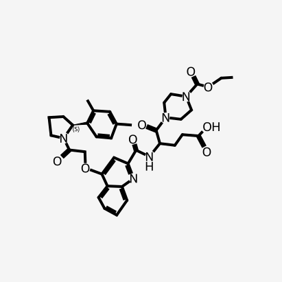 CCOC(=O)N1CCN(C(=O)C(CCC(=O)O)NC(=O)c2cc(OCC(=O)N3CCC[C@H]3c3ccc(C)cc3C)c3ccccc3n2)CC1